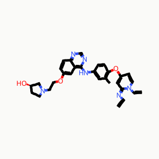 C=C/N=c1/cc(Oc2ccc(Nc3ncnc4ccc(OCCN5CC[C@@H](O)C5)cc34)cc2C)ccn1C=C